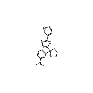 CN(C)c1cccc(C2(c3nnc(-c4cccnc4)o3)CCC[N]2)c1